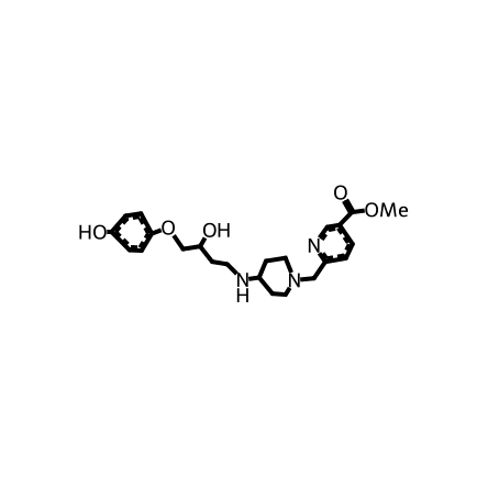 COC(=O)c1ccc(CN2CCC(NCCC(O)COc3ccc(O)cc3)CC2)nc1